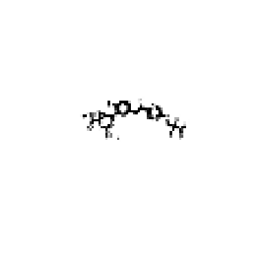 CNC(=O)C12CC1C(c1cc(/C=C(\F)c3cnc(OCC(F)(F)C(F)F)cn3)ccc1F)N=C(N)S2